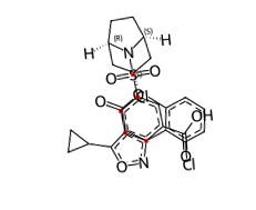 O=C(O)c1cccc(S(=O)(=O)N2[C@@H]3CC[C@H]2C[C@H](OC(=O)c2c(-c4c(Cl)cccc4Cl)noc2C2CC2)C3)c1